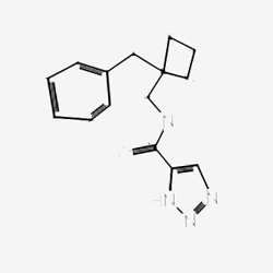 O=C(NCC1(Cc2ccccc2)CCC1)c1cnn[nH]1